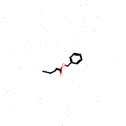 C[C]CC(=O)OCc1ccccc1